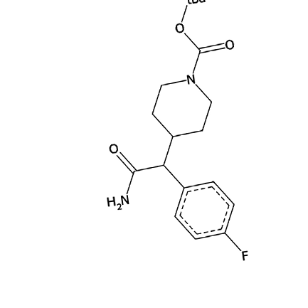 CC(C)(C)OC(=O)N1CCC(C(C(N)=O)c2ccc(F)cc2)CC1